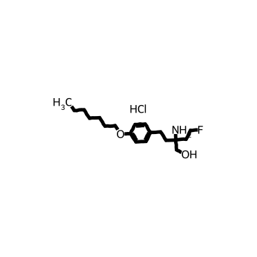 CCCCCCCOc1ccc(CCC(N)(CO)CCF)cc1.Cl